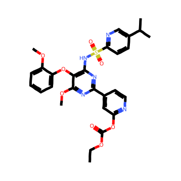 CCOC(=O)Oc1cc(-c2nc(NS(=O)(=O)c3ccc(C(C)C)cn3)c(Oc3ccccc3OC)c(OC)n2)ccn1